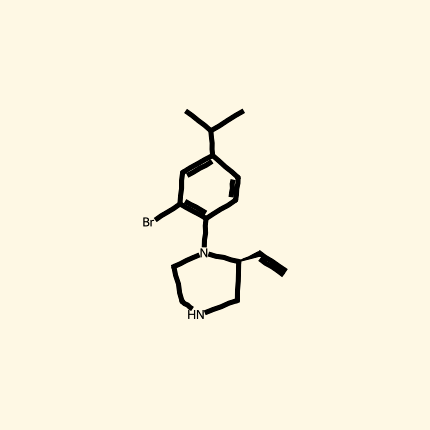 C=C[C@H]1CNCCN1c1ccc(C(C)C)cc1Br